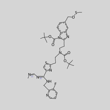 C/N=C\N=C(\NCc1ncccc1F)c1csc(CCN(CCc2nc3cc(COSC)ccc3n2C(=O)OC(C)(C)C)C(=O)OC(C)(C)C)n1